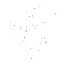 N=C(N)NCCC[C@H](NC(=O)[C@H](CCCNC(N)N)NC(=O)[C@H](CCCNC(=N)N)NC(=O)[C@H](CCCNC(=N)N)NC(=O)[C@H](CCCNC(=N)N)NC(=O)[C@H](CCCNC(=N)N)NC(=O)[C@H](CCCCN)NC(=O)[C@@H]1CCCN1C(=O)Cc1ccc(O)cc1)C(N)=O